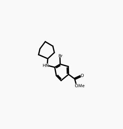 COC(=O)c1ccc(NC2CCCCC2)c(Br)c1